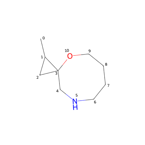 CC1CC12CNCCCCO2